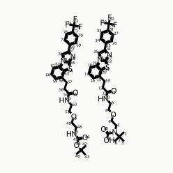 CC(C)(C)N(CCOCCNC(=O)CCc1cccc2c1sc1nc(-c3ccc(C(F)(F)F)cc3)cn12)C(=O)O.CC(C)(C)OC(=O)NCCOCCNC(=O)CCc1cccc2c1sc1nc(-c3ccc(C(F)(F)F)cc3)cn12